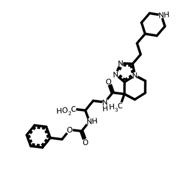 CC1(C(=O)NCC(NC(=O)OCc2ccccc2)C(=O)O)CCCn2c(CCC3CCNCC3)nnc21